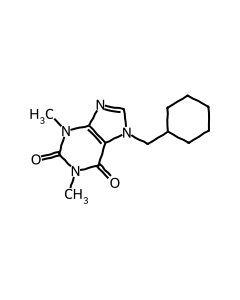 Cn1c(=O)c2c(ncn2CC2CCCCC2)n(C)c1=O